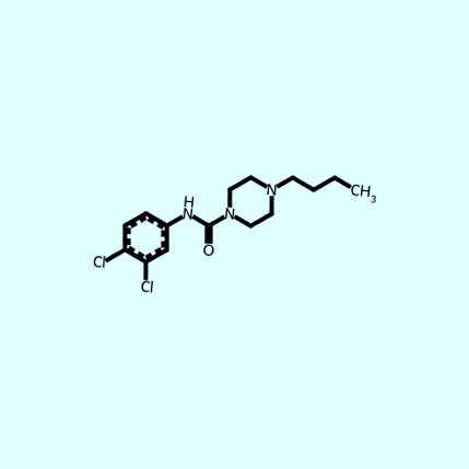 CCCCN1CCN(C(=O)Nc2ccc(Cl)c(Cl)c2)CC1